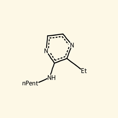 CCCCCNc1nccnc1CC